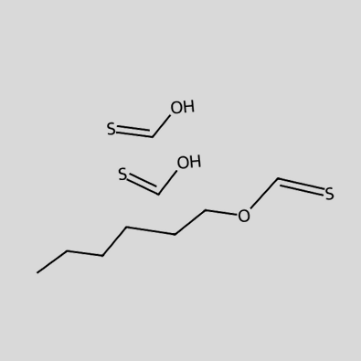 CCCCCCOC=S.OC=S.OC=S